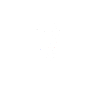 NS(=O)(=O)c1ccccc1S(=O)(=O)NC(=O)c1ccc(Br)c(OCC2CC2)c1